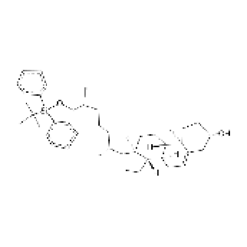 C[C@H](CCC[C@@H](C)[C@H]1CC[C@H]2[C@@H]3CC=C4C[C@@H](O)CC[C@]4(C)[C@H]3CC[C@]12C)CO[Si](c1ccccc1)(c1ccccc1)C(C)(C)C